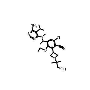 CCOc1c(C(C)N(C)c2ncnc(N)c2C(C)C)cc(Cl)c(C#N)c1C1CN(C(C)(C)CO)C1